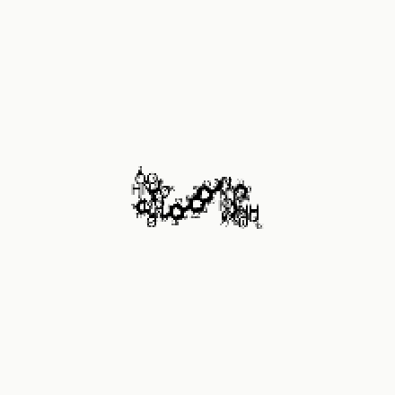 COC(=O)N[C@H](C(=O)N1CCC[C@H]1C(=O)NCc1ccc(-c2ccc3cc(-c4cnc([C@@H]5CCCN5C(=O)[C@@H](NC(=O)OC)[C@@H](C)OC)[nH]4)ccc3c2)cc1)[C@@H](C)OC